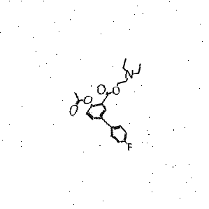 CCN(CC)CCOC(=O)c1cc(-c2ccc(F)cc2)ccc1OC(C)=O